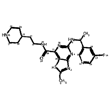 Cc1nc2nc(NC(C)c3cncc(F)c3)nc(C(=O)NCCC3CCNCC3)c2s1